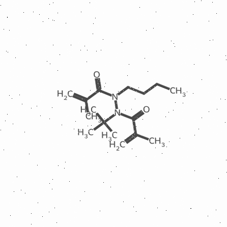 C=C(C)C(=O)N(CCCC)N(C(=O)C(=C)C)C(C)(C)C